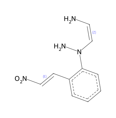 N/C=C\N(N)c1ccccc1/C=C/[N+](=O)[O-]